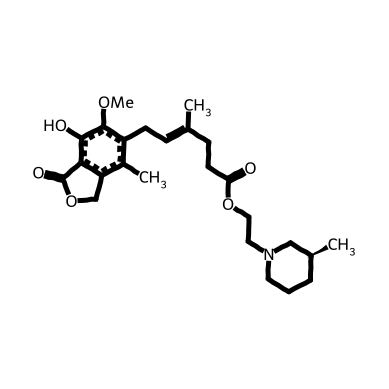 COc1c(O)c2c(c(C)c1C/C=C(\C)CCC(=O)OCCN1CCC[C@H](C)C1)COC2=O